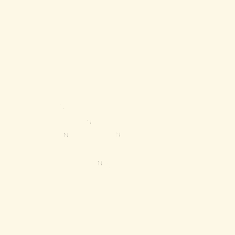 O=[N+]([O-])c1cnc(Cl)nc1NC=Cc1ccccc1